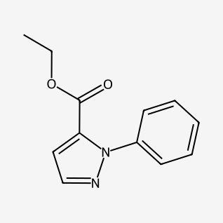 CCOC(=O)c1ccnn1-c1ccccc1